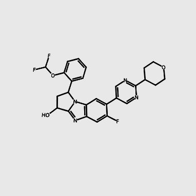 OC1CC(c2ccccc2OC(F)F)n2c1nc1cc(F)c(-c3cnc(C4CCOCC4)nc3)cc12